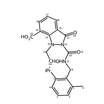 Cc1cccc(C(C)C)c1CNC(=O)n1c(=O)c2cccc(C(=O)O)c2n1CC=O